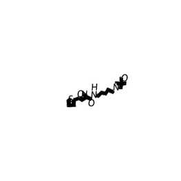 O=C(NCCCCCN1CC2(COC2)C1)c1cc(-c2cccs2)on1